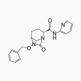 O=C(Nc1ccccn1)[C@@H]1CCC2CN1C(=O)N2OCc1ccccc1